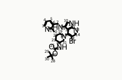 Cc1ncccc1CNc1c[nH]c2ncc(Br)c(N3CCC[C@@H](NC(=O)OC(C)(C)C)C3)c12